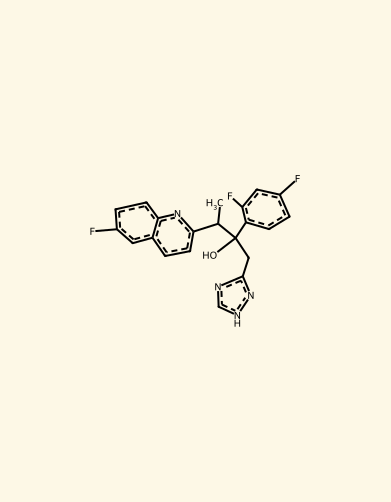 CC(c1ccc2cc(F)ccc2n1)C(O)(Cc1nc[nH]n1)c1ccc(F)cc1F